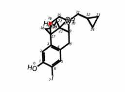 Oc1cc2c(cc1I)CC1N(CC3CC3)CCC23CCNCCC13O